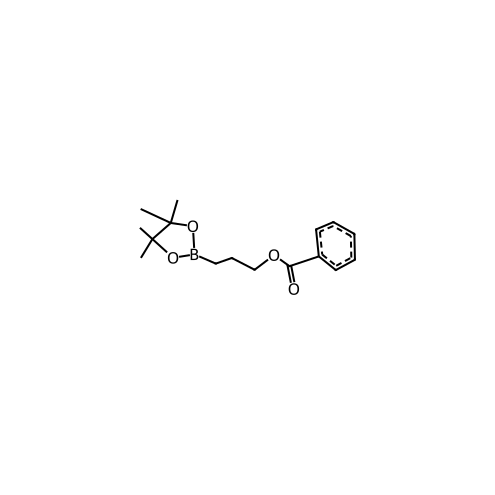 CC1(C)OB(CCCOC(=O)c2ccccc2)OC1(C)C